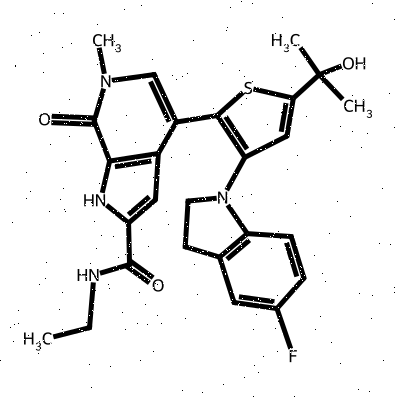 CCNC(=O)c1cc2c(-c3sc(C(C)(C)O)cc3N3CCc4cc(F)ccc43)cn(C)c(=O)c2[nH]1